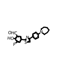 O=Cc1cc(-c2nc(-c3ccc(N4CCCCCC4)cc3)cs2)cc(F)c1O